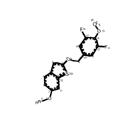 CCCOc1ccc2cc(OCc3cc(F)c(OC(F)(F)F)c(F)c3)sc2c1